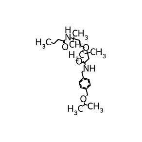 CCCC(=O)NC(C)(C)CCOC(C)(C)CC(=O)NCc1ccc(COC(C)C)cc1